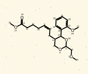 COCC1OCC(C/C=C\CCCC(=O)OC)C(c2ccccc2OC)O1